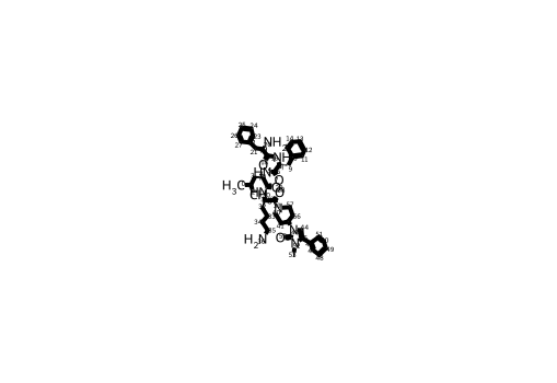 CC(C)C[C@@H](NC(=O)[C@@H](Cc1ccccc1)NC(=O)[C@H](N)Cc1ccccc1)C(=O)N[C@H](CCCCN)C(=O)N1CCC(n2cc(-c3ccccc3)n(I)c2=O)CC1